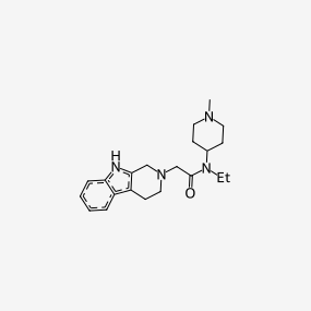 CCN(C(=O)CN1CCc2c([nH]c3ccccc23)C1)C1CCN(C)CC1